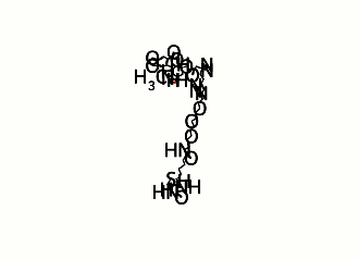 CN1CC[C@@H]2C[C@H](OC(=O)CC3(CCc4cn(CCOCCOCCOCCNC(=O)CCCC[C@@H]5SC[C@@H]6NC(=O)N[C@@H]65)nn4)N=N3)[C@H]3OC(=O)c4cc5c(cc4[C@H]3[C@@H]21)OCO5